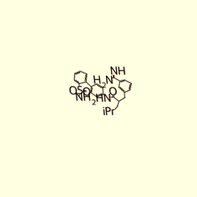 CC(C)CC(Cc1cccc(C(=N)N)c1)C(=O)Nc1ccc(-c2ccccc2S(N)(=O)=O)cc1